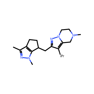 Cc1nn(C)c2c1CCC2Cc1nn2c(c1C(C)C)CN(C)CC2